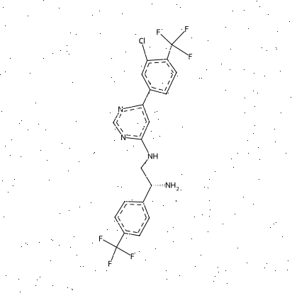 N[C@@H](CNc1cc(-c2ccc(C(F)(F)F)c(Cl)c2)ncn1)c1ccc(C(F)(F)F)cc1